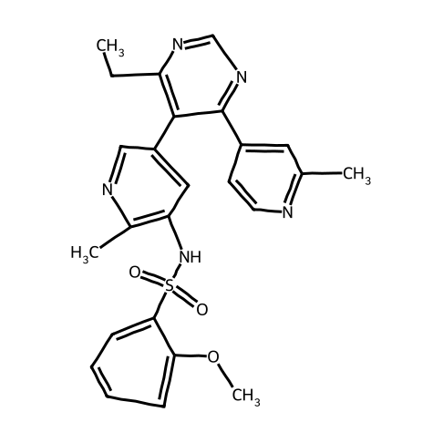 CCc1ncnc(-c2ccnc(C)c2)c1-c1cnc(C)c(NS(=O)(=O)c2ccccc2OC)c1